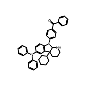 O=C(c1ccccc1)c1ccc(N2c3ccc(N(c4ccccc4)c4ccccc4)cc3C3(C4CCCCC4)CCCNC23)cc1